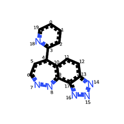 c1ccc(-c2ccnnc3c2ccc2nnnc23)nc1